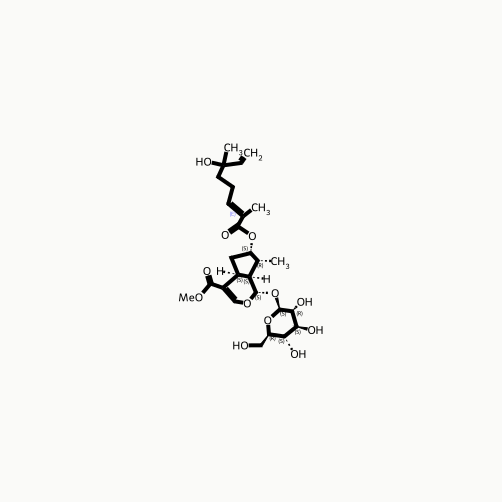 C=CC(C)(O)CC/C=C(\C)C(=O)O[C@H]1C[C@@H]2C(C(=O)OC)=CO[C@@H](O[C@@H]3O[C@H](CO)[C@@H](O)[C@H](O)[C@H]3O)[C@@H]2[C@H]1C